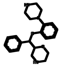 c1ccc(C(Oc2ccccc2N2CCNCC2)C2CNCCO2)cc1